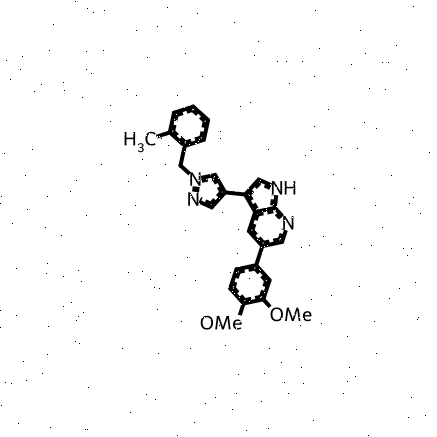 COc1ccc(-c2cnc3[nH]cc(-c4cnn(Cc5ccccc5C)c4)c3c2)cc1OC